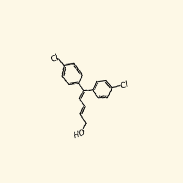 OCC=CC=C(c1ccc(Cl)cc1)c1ccc(Cl)cc1